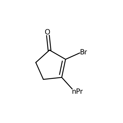 CCCC1=C(Br)C(=O)CC1